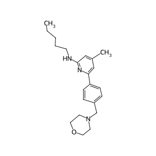 CCCCCNc1cc(C)cc(-c2ccc(CN3CCOCC3)cc2)n1